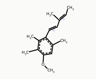 C/C=C(C)/C=C/c1c(C)cc(OC)c(C)c1C